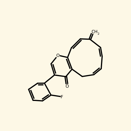 C=C1/C=C\C=C/Cc2c(occ(-c3ccccc3F)c2=O)/C=C\1